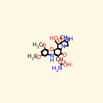 COc1cc(NC2=C(C)C(=O)C3=C(C2=O)C(CO)C2(OC)C4NC4CN32)cc(OC)c1.NC(=O)O